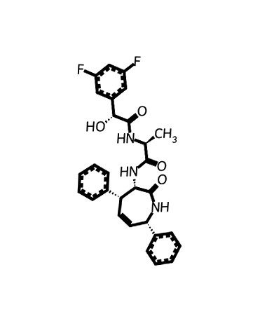 C[C@H](NC(=O)[C@H](O)c1cc(F)cc(F)c1)C(=O)N[C@@H]1C(=O)N[C@H](c2ccccc2)C=C[C@@H]1c1ccccc1